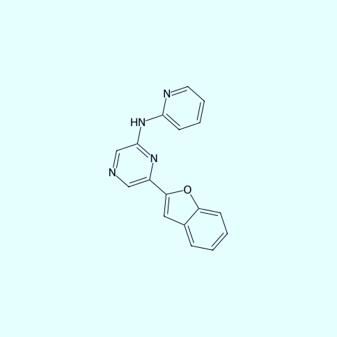 c1ccc(Nc2cncc(-c3cc4ccccc4o3)n2)nc1